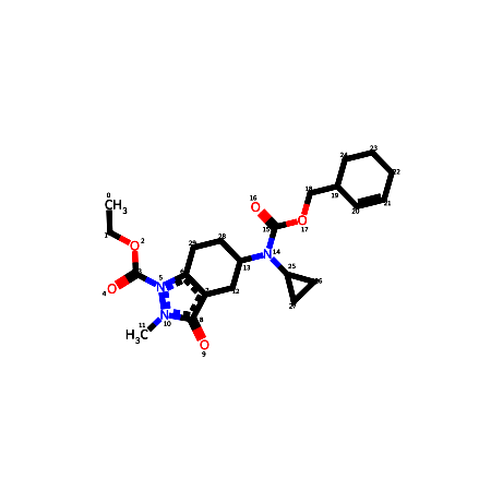 CCOC(=O)n1c2c(c(=O)n1C)CC(N(C(=O)OCC1C=CCCC1)C1CC1)CC2